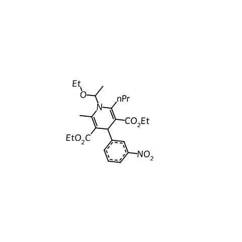 CCCC1=C(C(=O)OCC)C(c2cccc([N+](=O)[O-])c2)C(C(=O)OCC)=C(C)N1C(C)OCC